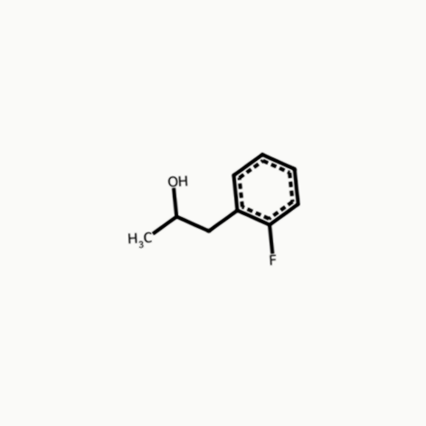 CC(O)Cc1ccccc1F